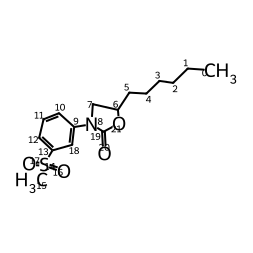 CCCCCCC1CN(c2cccc(S(C)(=O)=O)c2)C(=O)O1